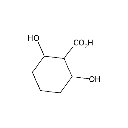 O=C(O)C1C(O)CCCC1O